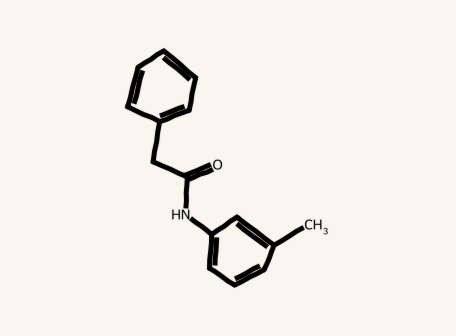 Cc1cccc(NC(=O)Cc2ccccc2)c1